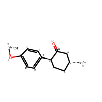 CCCCCCCOc1ccc([C@@H]2CC[C@@H](CCC)CC2=O)cc1